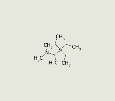 CC[Si](CC)(CC)C(C)N(C)C